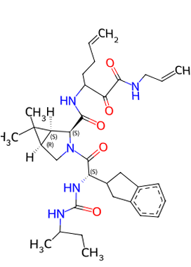 C=CCCC(NC(=O)[C@@H]1[C@H]2[C@@H](CN1C(=O)[C@@H](NC(=O)NC(C)CC)C1Cc3ccccc3C1)C2(C)C)C(=O)C(=O)NCC=C